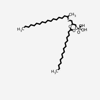 CCCCCCCCCCCCCCCCC(C)SCC(COP(=O)(O)O)OC(=O)CCCCCCCCCCCCCCC